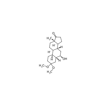 COC1(OC)CC[C@@H]2[C@H]3CC[C@]4(C)C(=O)CC[C@H]4[C@@H]3C[C@@H](O)[C@@H]2C1